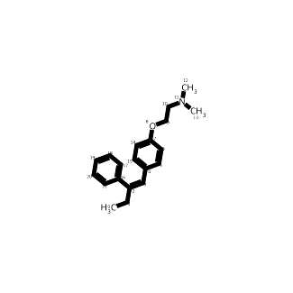 CCC(=Cc1ccc(OCCN(C)C)cc1)c1ccccc1